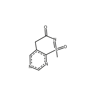 CS1(=O)=NC(=O)Cc2cncnc21